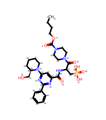 CCCCOC(=O)N1CCN(C(=O)C(CP(=O)(O)O)NC(=O)c2cc(N3CCCC[C@@H]3CO)nc(-c3ccccc3)n2)CC1